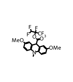 COc1ccc2c(c1)C(C(=O)OC(F)(C(F)F)C(F)(F)F)c1cc(OC)ccc1N2C